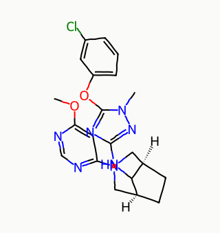 COc1cc(N2C[C@H]3CC[C@@H](C2)C3Nc2nc(Oc3cccc(Cl)c3)n(C)n2)ncn1